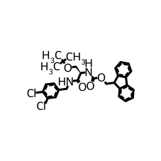 CC(C)(C)OC[C@@H](NC(=O)OCC1c2ccccc2-c2ccccc21)C(=O)NCc1ccc(Cl)c(Cl)c1